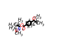 CON=C(OC(=O)c1ccc(C(=O)C(C)(C)C)cc1)C(C)(C)C